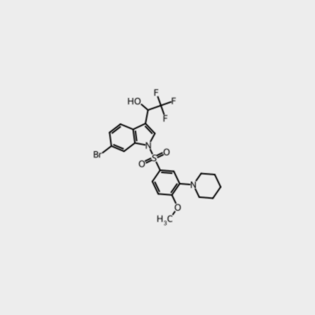 COc1ccc(S(=O)(=O)n2cc(C(O)C(F)(F)F)c3ccc(Br)cc32)cc1N1CCCCC1